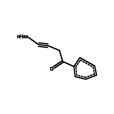 CCCCCCC#CCC(=O)c1ccccc1